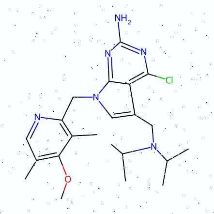 COc1c(C)cnc(Cn2cc(CN(C(C)C)C(C)C)c3c(Cl)nc(N)nc32)c1C